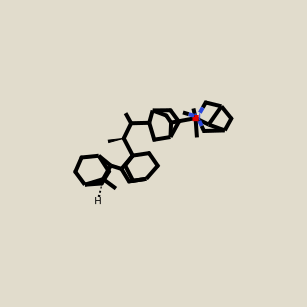 CC(C1CC2CCC1CC2C(C)(C)C1C2CC1CN(C)C2)[C@H](C)C12CCC(CC1)CC2C1C2CCC(CC2)[C@@H]1C